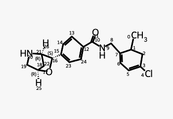 CC1CC(Cl)=CC=C1CNC(=O)c1ccc([C@@H]2O[C@H]3CN[C@@H]2C3)cc1